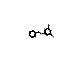 Brc1cc(Br)cc(SCc2ccccc2)c1